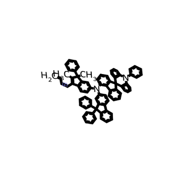 C=C/C=C\C1=C(C)C(C)(c2ccccc2)c2cc(N(c3ccc4c(c3)C(c3ccccc3)(c3ccccc3)c3ccccc3-4)c3cccc4c3-c3ccccc3C43c4ccccc4N(c4ccccc4)c4ccccc43)ccc21